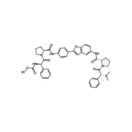 CC(C)OC(=O)N[C@@H](C(=O)N1CCC[C@H]1C(=O)Nc1ccc(-c2cc3cc(NC(=O)[C@@H]4CCCN4C(=O)[C@@H](c4ccccc4)N(C)C)ccc3o2)cc1)c1ccccc1